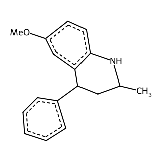 COc1ccc2c(c1)C(c1ccccc1)CC(C)N2